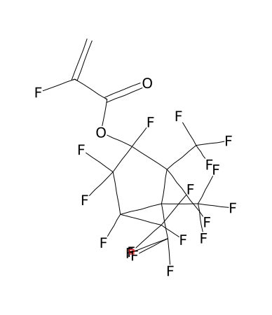 C=C(F)C(=O)OC1(F)C(F)(F)C2(F)C(F)(F)C(F)(F)C1(C(F)(F)F)C2(C(F)(F)F)C(F)(F)F